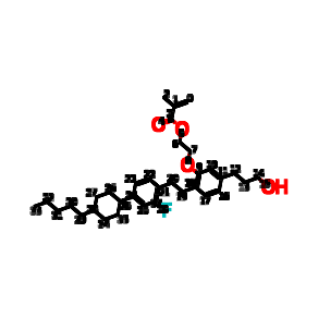 C=C(C)C(=O)OCCOc1cc(CCCO)ccc1CCc1ccc(C2CCC(CCCCC)CC2)cc1F